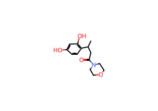 CC(CC(=O)N1CCOCC1)c1ccc(O)cc1O